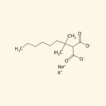 CCCCCCC(C)(C)C(C(=O)[O-])C(=O)[O-].[K+].[Na+]